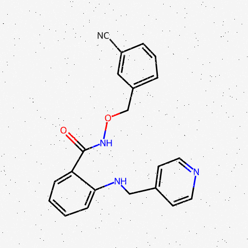 N#Cc1cccc(CONC(=O)c2ccccc2NCc2ccncc2)c1